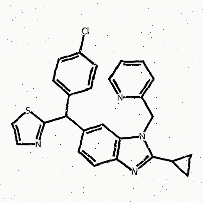 Clc1ccc(C(c2ccc3nc(C4CC4)n(Cc4ccccn4)c3c2)c2nccs2)cc1